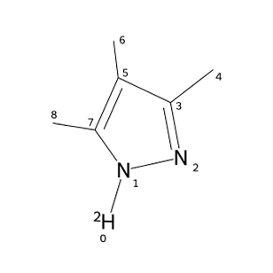 [2H]n1nc(C)c(C)c1C